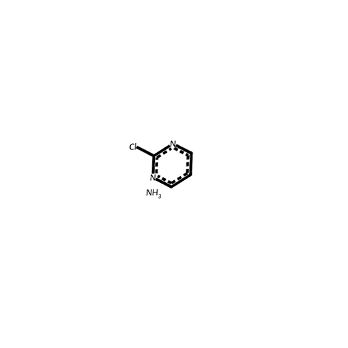 Clc1ncccn1.N